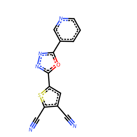 N#Cc1cc(-c2nnc(-c3cccnc3)o2)sc1C#N